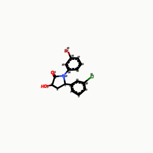 O=C1C(O)CC(c2cccc(Cl)c2)N1c1cccc(Br)c1